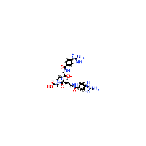 C[C@]1(CCCNC(=O)c2ccc(NC(=N)N)cc2)C(=O)N(CC(=O)O)CCN1C(O)CNC(=O)c1ccc(NC(=N)N)cc1